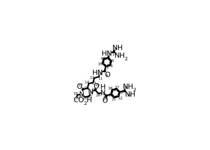 N=C(N)Nc1ccc(C(=O)NCCCCC2C(=O)N(CC(=O)O)CCN2C(=O)CNC(=O)c2ccc(C(=N)N)cc2)cc1